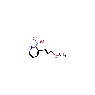 COCC=Cc1cccnc1[N+](=O)[O-]